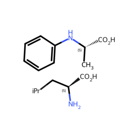 CC(C)C[C@H](N)C(=O)O.C[C@H](Nc1ccccc1)C(=O)O